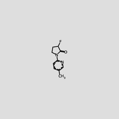 Cc1ccc(N2CCC(F)C2=O)nc1